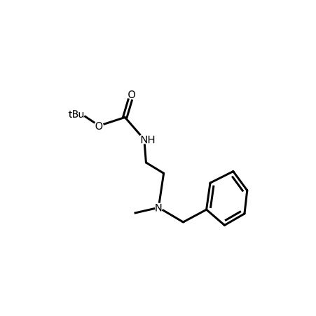 CN(CCNC(=O)OC(C)(C)C)Cc1ccccc1